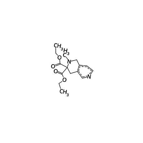 CCOC(=O)C1(C(=O)OCC)Cc2cnccc2CN1C